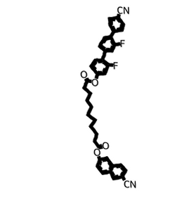 N#Cc1ccc(-c2ccc(-c3ccc(OC(=O)CCCCCCCCCC(=O)Oc4ccc5cc(C#N)ccc5c4)cc3F)cc2F)cc1